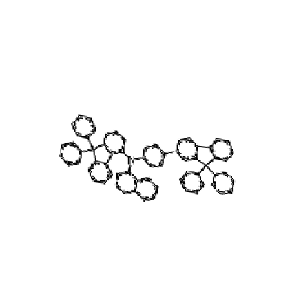 c1ccc(C2(c3ccccc3)c3ccccc3-c3ccc(-c4ccc(N(c5cccc6c5-c5ccccc5C6(c5ccccc5)c5ccccc5)c5cccc6ccccc56)cc4)cc32)cc1